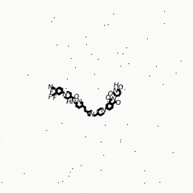 N#Cc1ccc(N2CCC(C(=O)Nc3ccc(CCC4CN(CC5CCN(c6ccc7c(c6)C(=O)N(C6CCC(=O)NC6=O)C7=O)CC5)C4)cn3)CC2)cc1C(F)(F)F